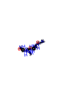 CCCNc1nc(Nc2ccc(C(N)=O)cc2)ncc1C(=O)Nc1ccc2c(c1)NC(CNC(=O)/C=C/CN(C)C)N2C